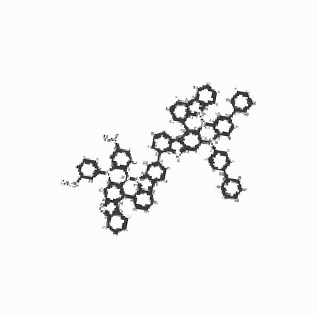 CSc1cccc(N2c3cc(SC)ccc3B3c4c2cc2oc5ccccc5c2c4-c2cccc4c5ccc(-c6cccc7c6oc6cc8c9c(c67)-c6cccc7c%10ccccc%10n(c67)B9c6cc(-c7ccccc7)ccc6N8c6ccc(-c7ccccc7)cc6)cc5n3c24)c1